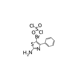 Nc1nc(-c2ccccc2)c(Br)s1.O=S(=O)(Cl)Cl